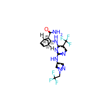 NC(=O)[C@H]1[C@@H](Nc2nc(Nc3cnn(CC(F)(F)F)c3)ncc2C(F)(F)F)[C@@H]2C=C[C@H]1C2